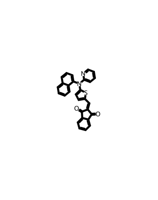 O=C1C(=Cc2ccc(N(c3ccccn3)c3cccc4ccccc34)s2)C(=O)c2ccccc21